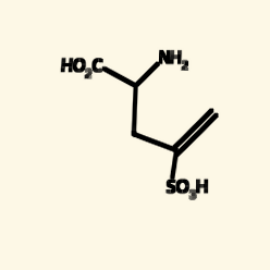 C=C(CC(N)C(=O)O)S(=O)(=O)O